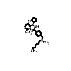 CCCCCCN(C)Cc1ccc(C(=O)NN(c2nc(N)ncc2Cl)C2CCCC2)cc1